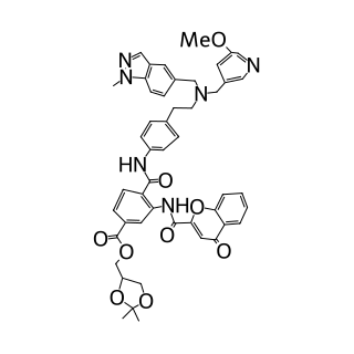 COc1cncc(CN(CCc2ccc(NC(=O)c3ccc(C(=O)OCC4COC(C)(C)O4)cc3NC(=O)c3cc(=O)c4ccccc4o3)cc2)Cc2ccc3c(cnn3C)c2)c1